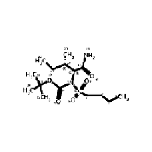 CCCCS(=O)(=O)N(C(=O)OC(C)(C)C)[C@H](C(N)=O)[C@@H](C)CC